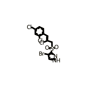 O=S(=O)(CC(Cl)=Cc1ccc(Cl)cc1Cl)c1n[nH]cc1Br